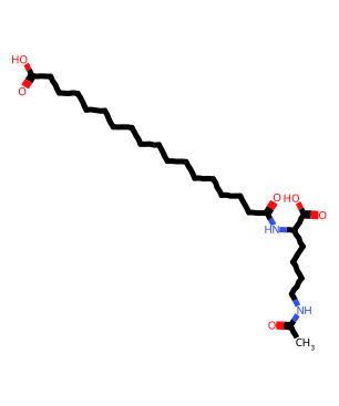 CC(=O)NCCCCC(NC(=O)CCCCCCCCCCCCCCCCC(=O)O)C(=O)O